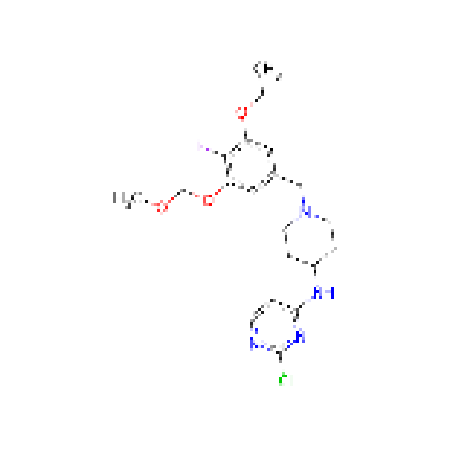 CCOc1cc(CN2CCC(Nc3ccnc(Cl)n3)CC2)cc(OCOC)c1I